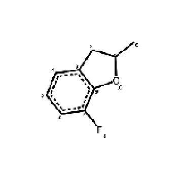 CC1Cc2cccc(F)c2O1